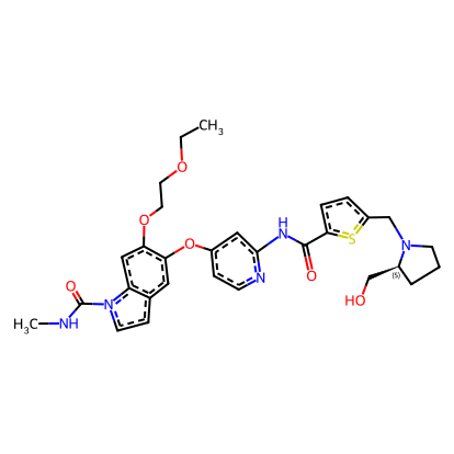 CCOCCOc1cc2c(ccn2C(=O)NC)cc1Oc1ccnc(NC(=O)c2ccc(CN3CCC[C@H]3CO)s2)c1